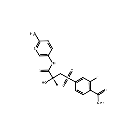 Bc1ncc(NC(=O)[C@@](C)(O)CS(=O)(=O)c2ccc(C(=O)NC)c(F)c2)cn1